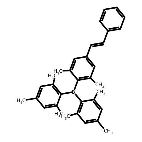 Cc1cc(C)c(B(c2c(C)cc(C)cc2C)c2c(C)cc(C=Cc3ccccc3)cc2C)c(C)c1